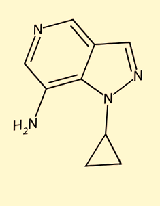 Nc1cncc2cnn(C3CC3)c12